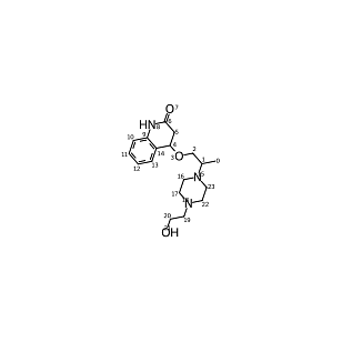 CC(COC1CC(=O)Nc2ccccc21)N1CCN(CCO)CC1